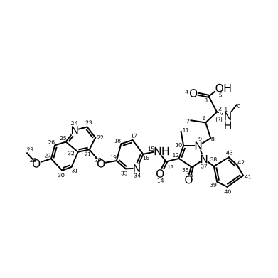 CN[C@@H](C(=O)O)C(C)Cn1c(C)c(C(=O)Nc2ccc(Oc3ccnc4cc(OC)ccc34)cn2)c(=O)n1-c1ccccc1